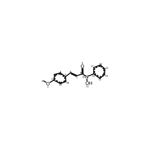 COc1ccc(C=CC(=O)N(O)c2ccccc2)cc1